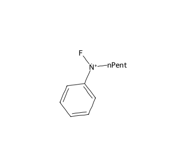 CCCCC[N+](F)c1ccccc1